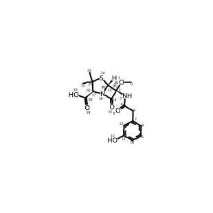 CO[C@]1(NC(=O)Cc2cccc(O)c2)C(=O)N2[C@@H](C(=O)O)C(C)(C)S[C@@H]21